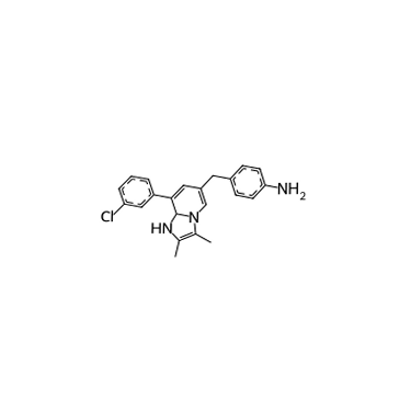 CC1=C(C)N2C=C(Cc3ccc(N)cc3)C=C(c3cccc(Cl)c3)C2N1